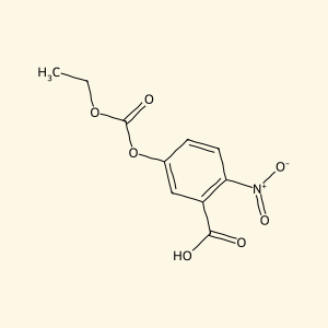 CCOC(=O)Oc1ccc([N+](=O)[O-])c(C(=O)O)c1